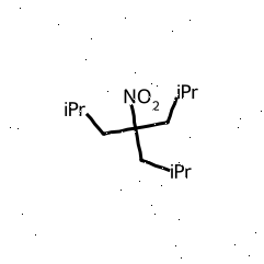 CC(C)CC(CC(C)C)(CC(C)C)[N+](=O)[O-]